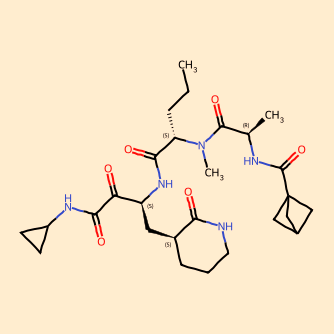 CCC[C@@H](C(=O)N[C@@H](C[C@@H]1CCCNC1=O)C(=O)C(=O)NC1CC1)N(C)C(=O)[C@@H](C)NC(=O)C12CC(C1)C2